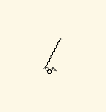 CCCCCCCCCCCCCCCCOP1(=O)OC2CCC[N+](C)(C)C2O1